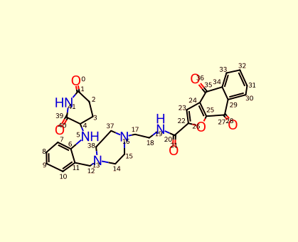 O=C1CCC(Nc2ccccc2CN2CCN(CCNC(=O)c3cc4c(o3)C(=O)c3ccccc3C4=O)CC2)C(=O)N1